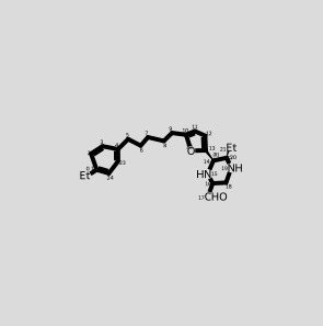 CCc1ccc(CCCCCc2ccc([C@@H]3NC(C=O)CN[C@H]3CC)o2)cc1